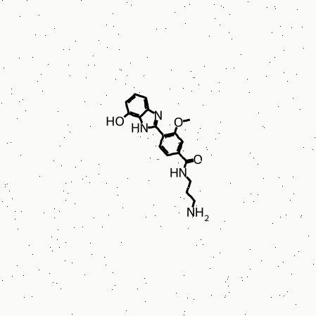 COc1cc(C(=O)NCCCN)ccc1-c1nc2cccc(O)c2[nH]1